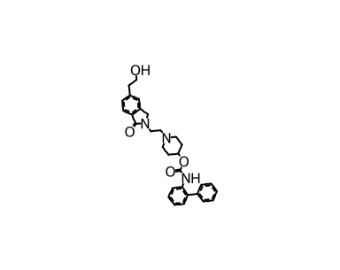 O=C(Nc1ccccc1-c1ccccc1)OC1CCN(CCN2Cc3cc(CCO)ccc3C2=O)CC1